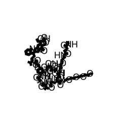 CC[C@@]1(O)C(=O)OCc2c1cc1n(c2=O)Cc2c-1nc1ccccc1c2CCN(C(=O)OCc1ccc(NC(=O)[C@H](C)NC(=O)[C@@H](NC(=O)CC[C@@H](NC(=O)CCOCCOCCNC(=O)CCC(=O)NC)C(=O)NCCOCCOCCOCCOC)C(C)C)c(O[C@@H]2O[C@H](C(=O)O)[C@@H](O)[C@H](O)[C@H]2O)c1)C(C)C